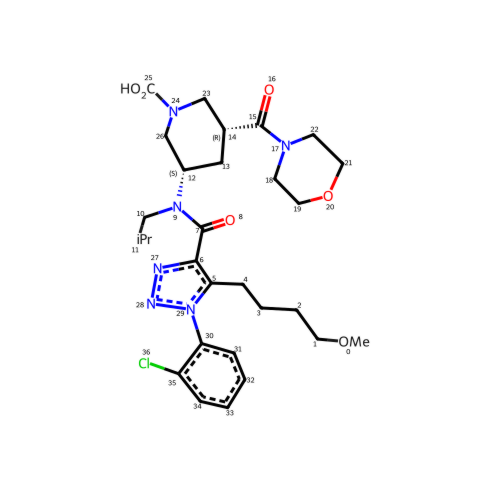 COCCCCc1c(C(=O)N(CC(C)C)[C@H]2C[C@@H](C(=O)N3CCOCC3)CN(C(=O)O)C2)nnn1-c1ccccc1Cl